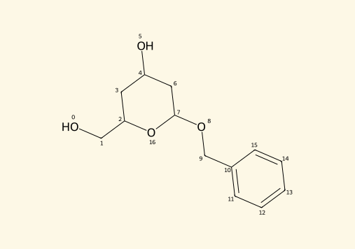 OCC1CC(O)CC(OCc2ccccc2)O1